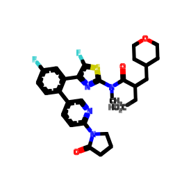 CN(C(=O)C(CC(=O)O)CC1CCOCC1)c1nc(-c2cc(F)ccc2-c2ccc(N3CCCC3=O)nc2)c(F)s1